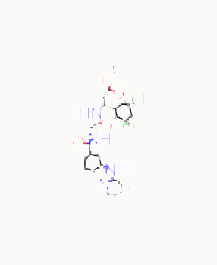 CCOC(=O)CC(NC(=O)CNC(=O)c1cccc(NC2=NCCCC2)c1)c1cc(Cl)cc(Cl)c1